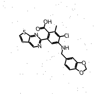 Cc1c(Cl)c(NCc2ccc3c(c2)OCO3)cc(-c2ncc3ccsc3n2)c1C(=O)O